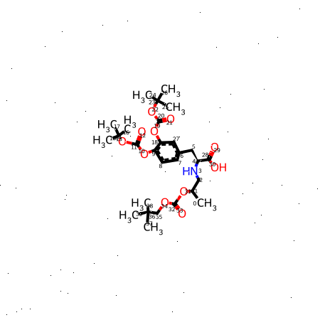 CC(CN[C@@H](Cc1ccc(OC(=O)OC(C)(C)C)c(OC(=O)OC(C)(C)C)c1)C(=O)O)OC(=O)OCC(C)(C)C